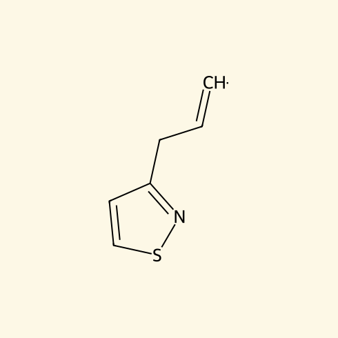 [CH]=CCc1ccsn1